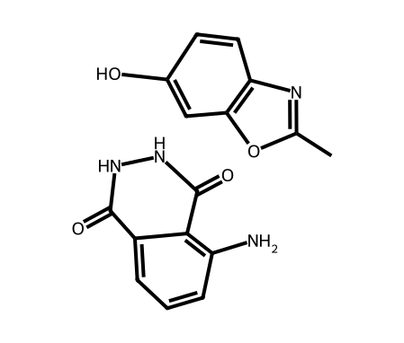 Cc1nc2ccc(O)cc2o1.Nc1cccc2c(=O)[nH][nH]c(=O)c12